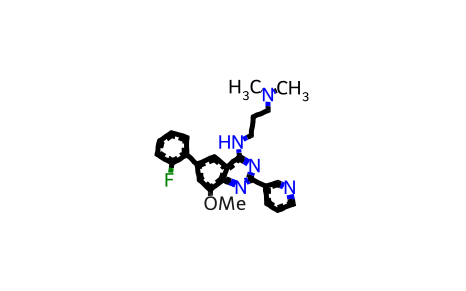 COc1cc(-c2ccccc2F)cc2c(NCCCN(C)C)nc(-c3cccnc3)nc12